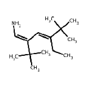 CC/C(=C\C(=C/N)C(C)(C)C)C(C)(C)C